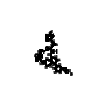 Cc1noc(C2CC2C(=O)NCc2ccc(-c3cccc(OC(F)(F)F)c3)c3c2CN(Cc2noc(C(C)C)n2)CC3)n1